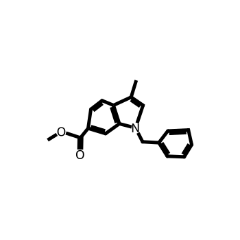 COC(=O)c1ccc2c(C)cn(Cc3ccccc3)c2c1